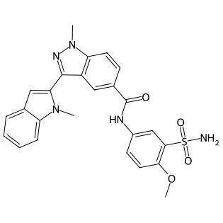 COc1ccc(NC(=O)c2ccc3c(c2)c(-c2cc4ccccc4n2C)nn3C)cc1S(N)(=O)=O